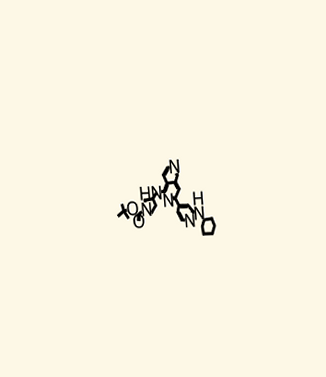 CC(C)(C)OC(=O)N1CCC(Nc2nc(-c3ccnc(NC4CCCCC4)c3)cc3cnccc23)C1